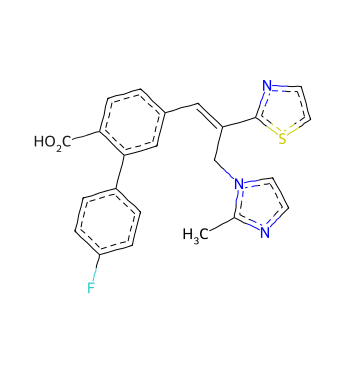 Cc1nccn1C/C(=C\c1ccc(C(=O)O)c(-c2ccc(F)cc2)c1)c1nccs1